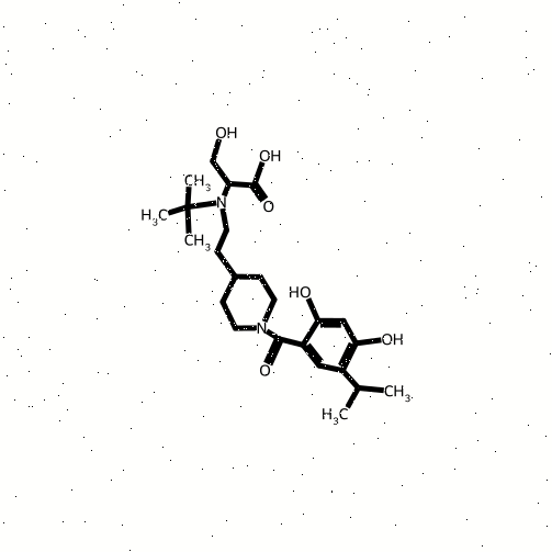 CC(C)c1cc(C(=O)N2CCC(CCN(C(CO)C(=O)O)C(C)(C)C)CC2)c(O)cc1O